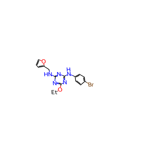 CCOc1nc(NCc2ccco2)nc(Nc2ccc(Br)cc2)n1